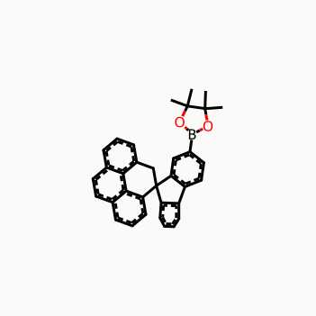 CC1(C)OB(c2ccc3c(c2)C2(Cc4cccc5ccc6cccc2c6c45)c2ccccc2-3)OC1(C)C